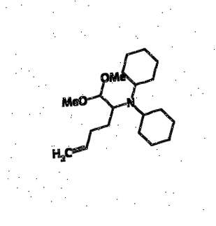 C=CCCC(C(OC)OC)N(C1CCCCC1)C1CCCCC1